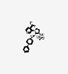 CS(=O)(=O)N[C@H]1CCN(c2cnccc2C(F)F)[C@H]1CO[C@H]1CC[C@@H](c2ccccc2)CC1